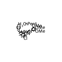 CCCCCC.COc1cc(-n2cnc(Nc3nc(Cl)nc4sc(CN5CCOCC5)cc34)c2)cc(OC)c1OC